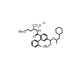 CCCCSC(OC(C)CC1CCCCC1)c1ccc(C(=O)N[C@@H](CCSC)C(=O)O)c(-c2ccccc2C)c1.[Li]